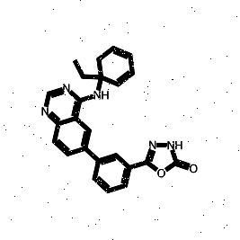 CCC1(Nc2ncnc3ccc(-c4cccc(-c5n[nH]c(=O)o5)c4)cc23)C=CC=CC1